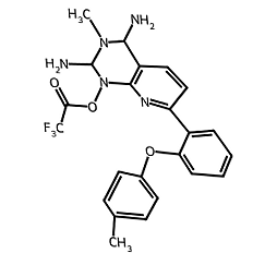 Cc1ccc(Oc2ccccc2-c2ccc3c(n2)N(OC(=O)C(F)(F)F)C(N)N(C)C3N)cc1